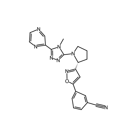 Cn1c(-c2cnccn2)nnc1N1CCC[C@@H]1c1cc(-c2cccc(C#N)c2)on1